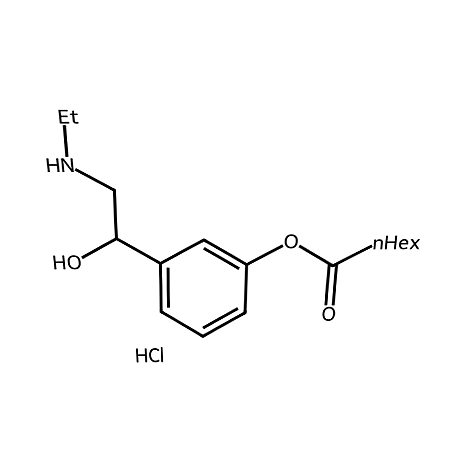 CCCCCCC(=O)Oc1cccc(C(O)CNCC)c1.Cl